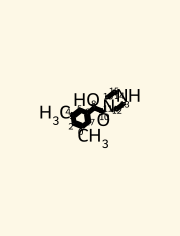 Cc1cc(C)cc(C(O)C(=O)N2CCNCC2)c1